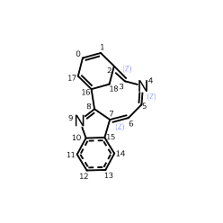 C1=C\C2=C/N=C\C=C3/C(=Nc4ccccc43)C(=C1)C2